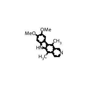 COc1cc2[nH]c3c(C)c4ccncc4c(C)c3c2cc1OC